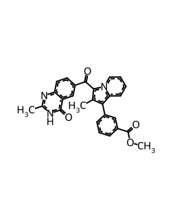 COC(=O)c1cccc(-c2c(C)c(C(=O)c3ccc4nc(C)[nH]c(=O)c4c3)n3ccccc23)c1